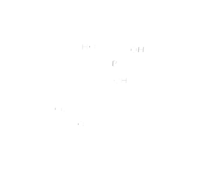 OB(O)O.[Cu][O]C1CCCCC1